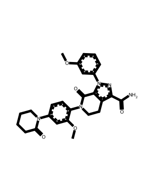 COc1cccc(-n2nc(C(N)=O)c3c2C(=O)N(c2ccc(N4CCCCC4=O)cc2OC)CC3)c1